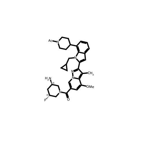 COc1cc(C(=O)N2C[C@H](N)C[C@@H](F)C2)cn2nc(-c3cc4cccc(C5CCN(C(C)=O)CC5)c4n3CC3CC3)c(C)c12